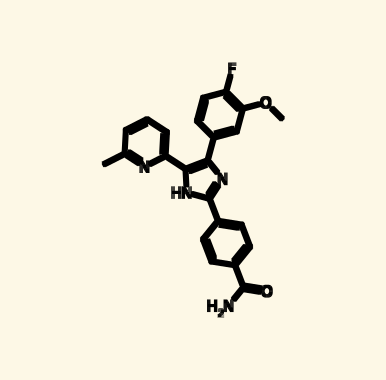 COc1cc(-c2nc(-c3ccc(C(N)=O)cc3)[nH]c2-c2cccc(C)n2)ccc1F